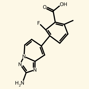 Cc1ccc(-c2ccn3nc(N)nc3c2)c(F)c1C(=O)O